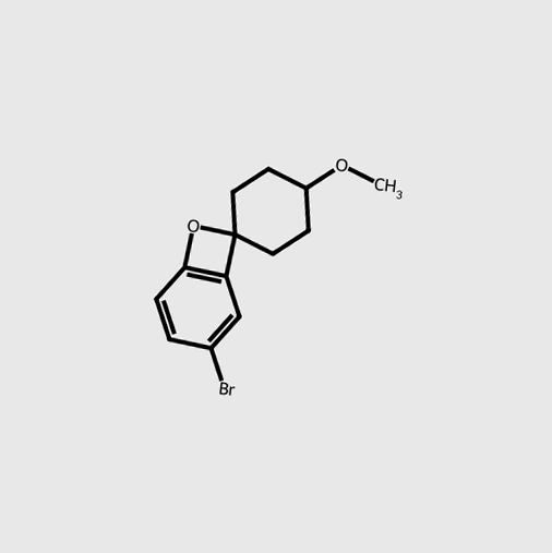 COC1CCC2(CC1)Oc1ccc(Br)cc12